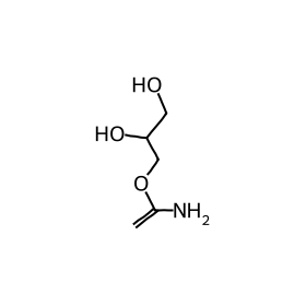 C=C(N)OCC(O)CO